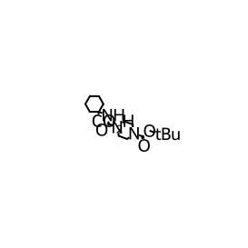 CC(C)(C)OC(=O)N1CCN(C(=O)NC2(C(=O)O)CCCCC2)CC1